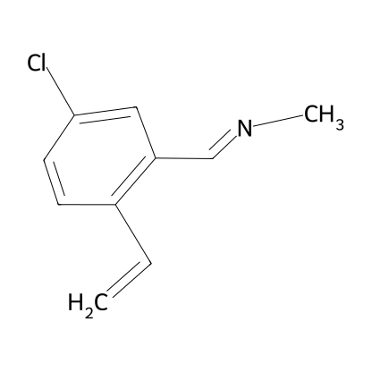 C=Cc1ccc(Cl)cc1C=NC